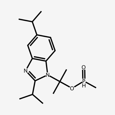 CC(C)c1ccc2c(c1)nc(C(C)C)n2C(C)(C)O[PH](C)=O